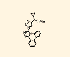 COC(c1cn(-c2nnc3c4ccccc4n4cncc4n23)nn1)C1CC1